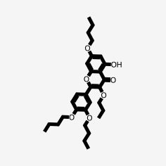 CCCCOc1cc(O)c2c(=O)c(OCCC)c(-c3ccc(OCCCC)c(OCCCC)c3)oc2c1